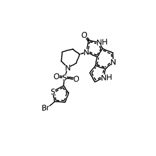 O=c1[nH]c2cnc3[nH]ccc3c2n1[C@@H]1CCCN(S(=O)(=O)c2ccc(Br)s2)C1